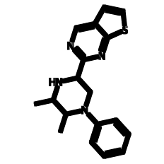 CC1NC(c2ncc3ccsc3n2)CN(c2ccccc2)C1C